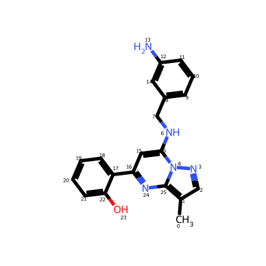 Cc1cnn2c(NCc3cccc(N)c3)cc(-c3ccccc3O)nc12